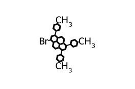 Cc1ccc(-c2cc(Br)c3ccc4c(-c5ccc(C)cc5)cc(-c5ccc(C)cc5)c5ccc2c3c45)cc1